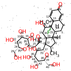 CC1C[C@H]2[C@@H]3CCC4=CC(=O)C=C[C@]4(C)[C@@]3(F)C(O)C[C@]2(C)[C@]1(C(=O)C[C@@H]1O[C@H](CO)[C@H](O)[C@H](O)[C@H]1O)[C@@H]1O[C@H](CO)[C@H](O)[C@H](O)[C@H]1O